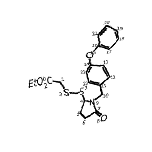 CCOC(=O)CSSC1CCC(=O)N1Cc1ccc(Oc2ccccc2)cc1